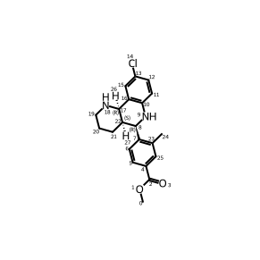 COC(=O)c1ccc([C@@H]2Nc3ccc(Cl)cc3[C@@H]3NCCC[C@H]23)c(C)c1